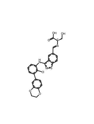 O=C(O)[C@@H](CO)N=Cc1ccc2snc(Nc3cccc(-c4ccc5c(c4)OCCO5)c3Cl)c2c1